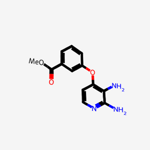 COC(=O)c1cccc(Oc2ccnc(N)c2N)c1